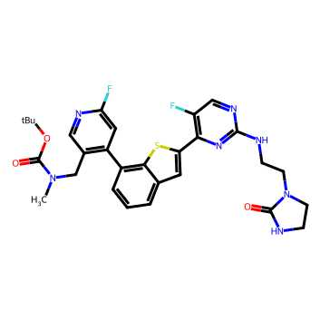 CN(Cc1cnc(F)cc1-c1cccc2cc(-c3nc(NCCN4CCNC4=O)ncc3F)sc12)C(=O)OC(C)(C)C